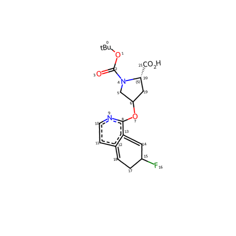 CC(C)(C)OC(=O)N1CC(Oc2nccc3c2=CC(F)CC=3)C[C@H]1C(=O)O